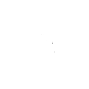 NC(=O)C1=C(C(=O)O)SCCS1